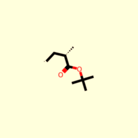 [CH2]C[C@H](C)C(=O)OC(C)(C)C